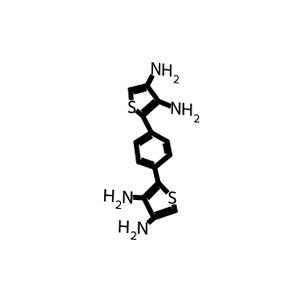 Nc1csc(-c2ccc(-c3scc(N)c3N)cc2)c1N